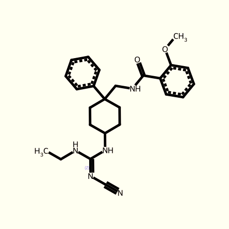 CCN/C(=N/C#N)NC1CCC(CNC(=O)c2ccccc2OC)(c2ccccc2)CC1